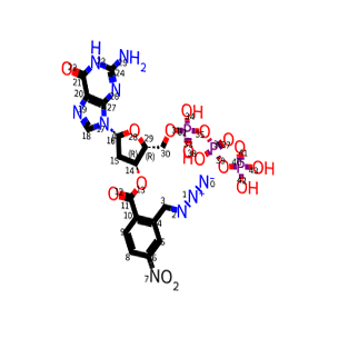 [N-]=[N+]=NCc1cc([N+](=O)[O-])ccc1C(=O)O[C@@H]1C[C@H](n2cnc3c(=O)[nH]c(N)nc32)O[C@@H]1COP(=O)(O)OP(=O)(O)OP(=O)(O)O